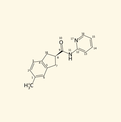 Cc1ccc2c(c1)C[C@H](C(=O)Nc1ccccn1)C2